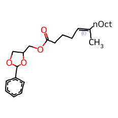 CCCCCCCC/C(C)=C/CCCC(=O)OCC1COC(c2ccccc2)O1